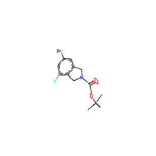 CC(C)(C)OC(=O)N1Cc2cc(Br)cc(F)c2C1